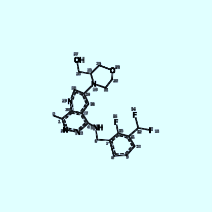 Cc1nnc(NCc2cccc(C(F)F)c2F)c2cc(N3CCOCC3CO)cnc12